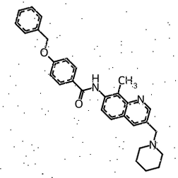 Cc1c(NC(=O)c2ccc(OCc3ccccc3)cc2)ccc2cc(CN3CCCCC3)cnc12